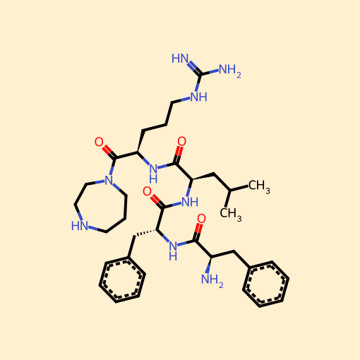 CC(C)C[C@@H](NC(=O)[C@@H](Cc1ccccc1)NC(=O)[C@H](N)Cc1ccccc1)C(=O)N[C@H](CCCNC(=N)N)C(=O)N1CCCNCC1